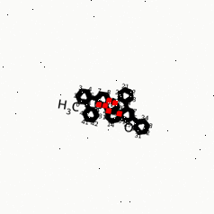 Cc1cccc(-c2ccc3c(c2)c2ccccc2n3-c2ccccc2-c2ccc3oc4ccccc4c3c2)c1-c1ccccc1Oc1ccccc1